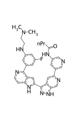 CCCC(=O)Nc1cncc(-c2cc3c(-c4cc5c(-c6cc(F)cc(NCCN(C)C)c6)nccc5[nH]4)n[nH]c3cn2)c1